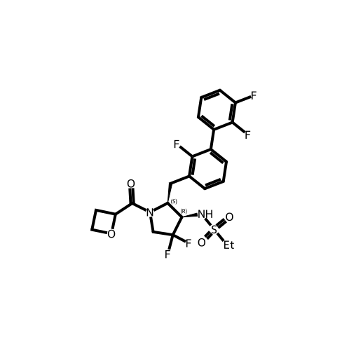 CCS(=O)(=O)N[C@@H]1[C@H](Cc2cccc(-c3cccc(F)c3F)c2F)N(C(=O)C2CCO2)CC1(F)F